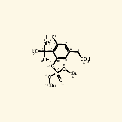 CCCC(C)(C)c1c(C)cc(CC(=O)O)cc1OP(=O)(OC(C)(C)C)OC(C)(C)C